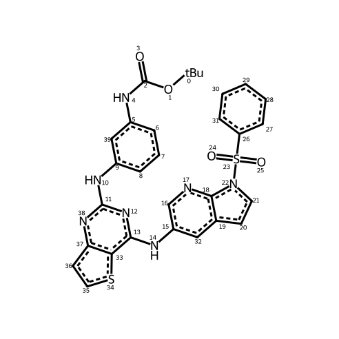 CC(C)(C)OC(=O)Nc1cccc(Nc2nc(Nc3cnc4c(ccn4S(=O)(=O)c4ccccc4)c3)c3sccc3n2)c1